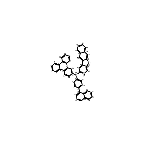 c1ccc(-c2ccccc2-c2ccc(N(c3ccc(-c4cccc5ccccc45)cc3)c3cc4c(cn3)oc3cc5ccccc5cc34)cc2)cc1